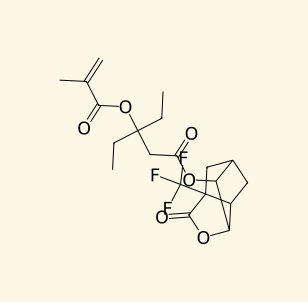 C=C(C)C(=O)OC(CC)(CC)CC(=O)OC1C2CC3C1OC(=O)C3(C(F)(F)F)C2